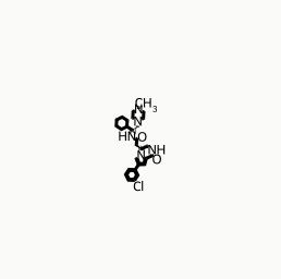 CN1CCN(C[C@H](NC(=O)C[C@H]2CNC(=O)c3cc(-c4cccc(Cl)c4)cn32)C2CCCCC2)CC1